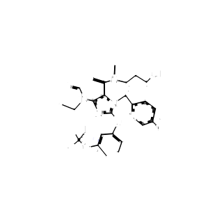 C=C(c1c(N(C=O)CC)nc(OC(/C=C(\C)OC(F)(F)F)=C/C)n1Cc1ccc(Cl)cn1)N(C)CCCO